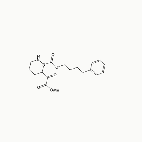 COC(=O)C(=O)C1CCCNN1C(=O)OCCCCc1ccccc1